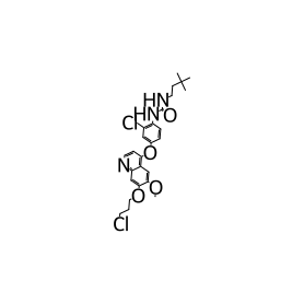 COc1cc2c(Oc3ccc(NC(=O)NCCC(C)(C)C)c(Cl)c3)ccnc2cc1OCCCCl